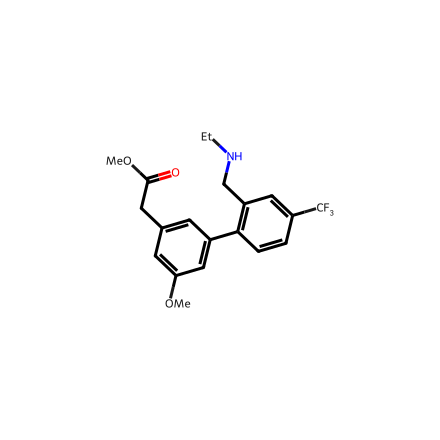 CCNCc1cc(C(F)(F)F)ccc1-c1cc(CC(=O)OC)cc(OC)c1